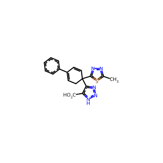 Cc1nnc(C2(c3nn[nH]c3C(=O)O)C=CC(c3ccccc3)=CC2)s1